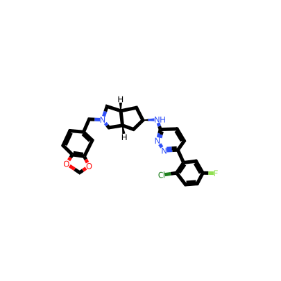 Fc1ccc(Cl)c(-c2ccc(N[C@H]3C[C@@H]4CN(Cc5ccc6c(c5)OCO6)C[C@@H]4C3)nn2)c1